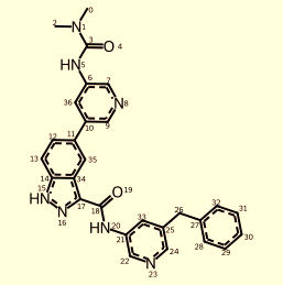 CN(C)C(=O)Nc1cncc(-c2ccc3[nH]nc(C(=O)Nc4cncc(Cc5ccccc5)c4)c3c2)c1